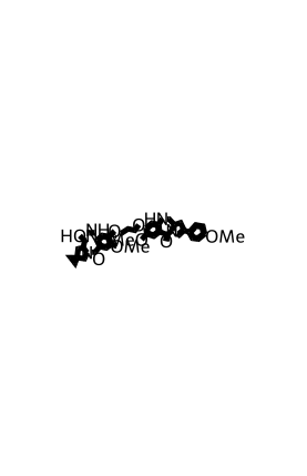 COc1ccc(C2=CN3C(=O)c4cc(OC)c(OCCCOc5cc6c(cc5OC)C(=O)N5CC7(CC7)CC5C(O)N6N)cc4NCC3C2)cc1